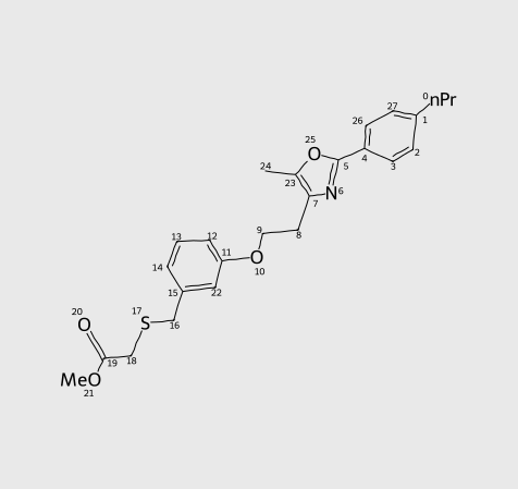 CCCc1ccc(-c2nc(CCOc3cccc(CSCC(=O)OC)c3)c(C)o2)cc1